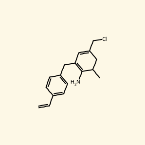 C=Cc1ccc(CC2=C(N)C(C)CC(CCl)=C2)cc1